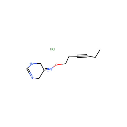 CCC#CCCO/N=C1/CN=CNC1.Cl